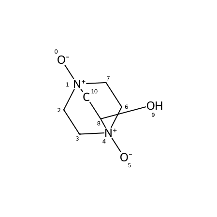 [O-][N+]12CC[N+]([O-])(CC1)C(O)C2